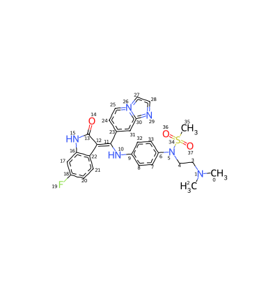 CN(C)CCN(c1ccc(NC(=C2C(=O)Nc3cc(F)ccc32)c2ccn3ccnc3c2)cc1)S(C)(=O)=O